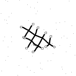 [O]C(Cl)(Cl)C(Cl)(C(Cl)(Cl)Cl)C(Cl)(C(Cl)(Cl)Cl)C(Cl)(Cl)Cl